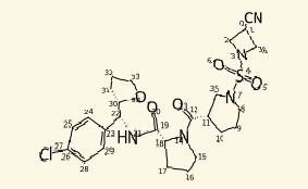 N#CC1CN(S(=O)(=O)N2CCC[C@H](C(=O)N3CCC[C@@H]3C(=O)N[C@H](c3ccc(Cl)cc3)[C@@H]3CCCO3)C2)C1